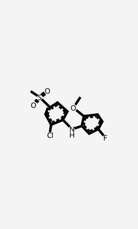 COc1ccc(F)cc1Nc1ccc(S(C)(=O)=O)cc1Cl